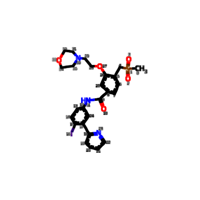 CS(=O)(=O)Cc1ccc(C(=O)Nc2ccc(I)c(-c3ccccn3)c2)cc1OCCN1CCOCC1